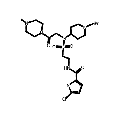 CC(C)N1CCC(N(CC(=O)N2CCN(C)CC2)S(=O)(=O)CCNC(=O)c2ccc(Cl)s2)CC1